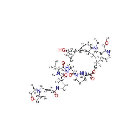 CCn1c(-c2cccnc2COC)c2c3cc(ccc31)-c1cc(O)cc(c1)C[C@H](NC(=O)C(C(C)C)N(C)C(=O)[C@H]1CCN(C(=O)C#CCN3[C@H](C)COC[C@@H]3C)C1)C(=O)N1CCC[C@H](N1)C(=O)OCC(C)(C)C2